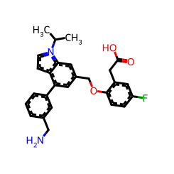 CC(C)n1ccc2c(-c3cccc(CN)c3)cc(COc3ccc(F)cc3CC(=O)O)cc21